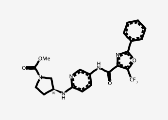 COC(=O)N1CC[C@H](Nc2ccc(NC(=O)c3nc(-c4ccccc4)oc3C(F)(F)F)cn2)C1